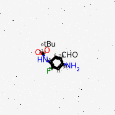 CC(C)(C)OC(=O)Nc1cc(C=O)c(N)cc1F